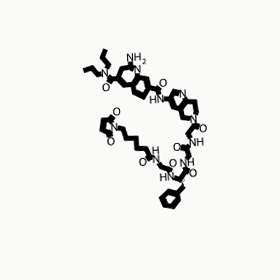 CCCN(CCC)C(=O)C1=Cc2ccc(C(=O)Nc3cnc4c(c3)CN(C(=O)CNC(=O)CNC(=O)[C@H](Cc3ccccc3)NC(=O)CNC(=O)CCCCCN3C(=O)C=CC3=O)CC4)cc2N=C(N)C1